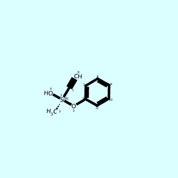 C#C[Si@](C)(O)Oc1ccccc1